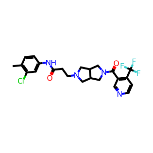 Cc1ccc(NC(=O)CCN2CC3CN(C(=O)c4cnccc4C(F)(F)F)CC3C2)cc1Cl